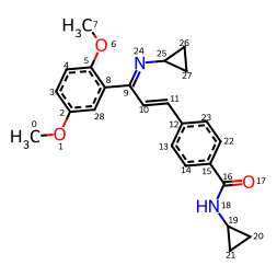 COc1ccc(OC)c(C(C=Cc2ccc(C(=O)NC3CC3)cc2)=NC2CC2)c1